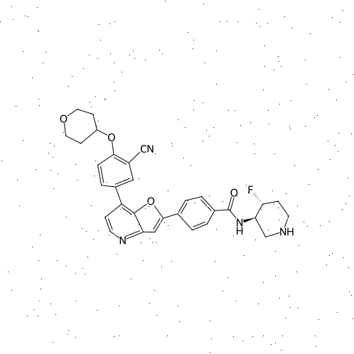 N#Cc1cc(-c2ccnc3cc(-c4ccc(C(=O)N[C@@H]5CNCC[C@H]5F)cc4)oc23)ccc1OC1CCOCC1